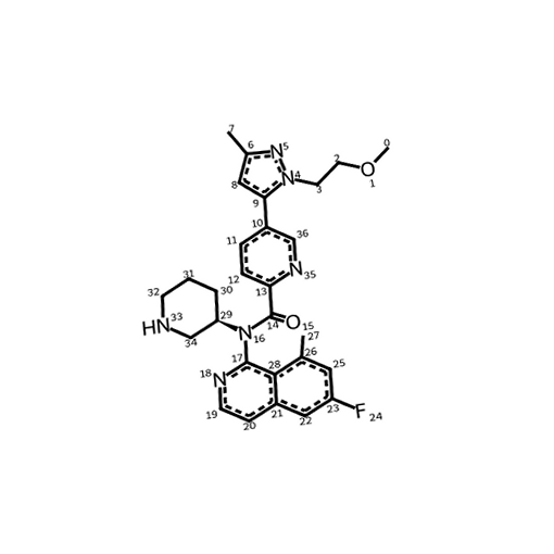 COCCn1nc(C)cc1-c1ccc(C(=O)N(c2nccc3cc(F)cc(C)c23)[C@@H]2CCCNC2)nc1